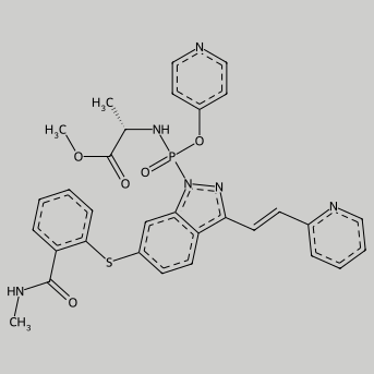 CNC(=O)c1ccccc1Sc1ccc2c(/C=C/c3ccccn3)nn(P(=O)(N[C@@H](C)C(=O)OC)Oc3ccncc3)c2c1